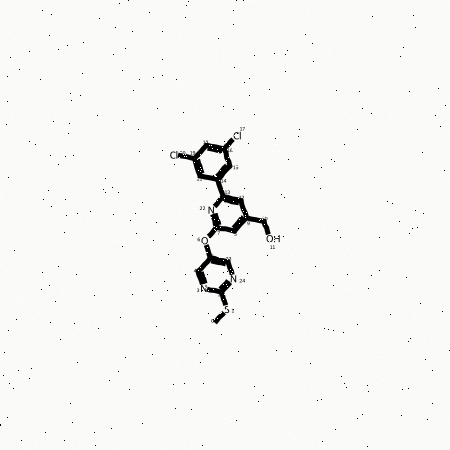 CSc1ncc(Oc2cc(CO)cc(-c3cc(Cl)cc(Cl)c3)n2)cn1